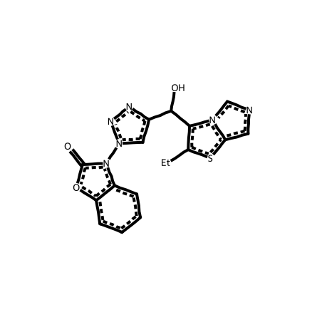 CCc1sc2cncn2c1C(O)c1cn(-n2c(=O)oc3ccccc32)nn1